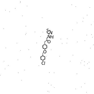 O=C(CNc1cscn1)Cc1ccc(OCc2ccc(Cl)cc2)cc1